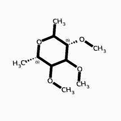 COC1C(OC)[C@H](C)OC(C)[C@@H]1OC